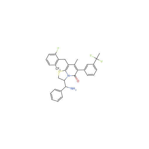 Cc1c(Cc2c(F)cccc2C(F)(F)F)c2n(c(=O)c1-c1cccc(C(C)(F)F)c1)C(C(N)c1ccccc1)CS2